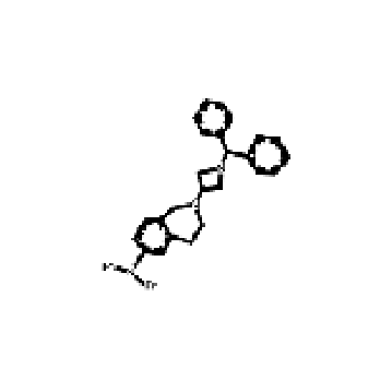 CC(C)N(c1ccc2c(c1)CCN(C1CN(C(c3ccccc3)c3ccccc3)C1)C2)C(C)C